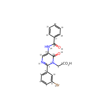 O=C(O)Cn1c(-c2cccc(Br)c2)ncc(NC(=O)c2ccccc2)c1=O